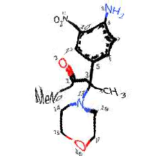 CNC(=O)C(C)(c1ccc(N)c([N+](=O)[O-])c1)N1CCOCC1